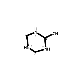 N#CC1NCNCN1